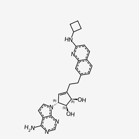 Nc1ncnc2c1ccn2[C@@H]1C=C(CCc2ccc3ccc(NC4CCC4)nc3c2)[C@@H](O)[C@H]1O